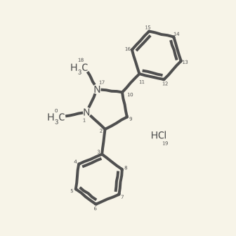 CN1C(c2ccccc2)CC(c2ccccc2)N1C.Cl